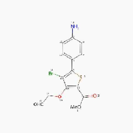 COC(=O)c1sc(-c2ccc(N)cc2)c(Br)c1OCC=O